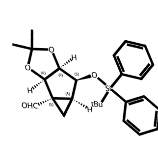 CC1(C)O[C@H]2[C@@H](O[Si](c3ccccc3)(c3ccccc3)C(C)(C)C)[C@H]3C[C@@]3(C=O)[C@H]2O1